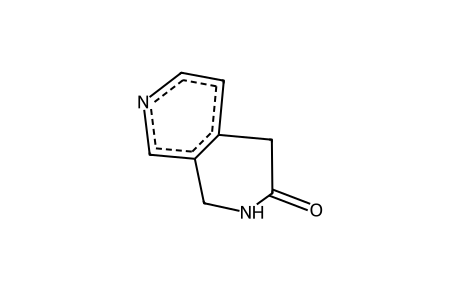 O=C1Cc2ccncc2CN1